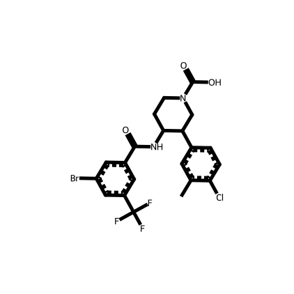 Cc1cc(C2CN(C(=O)O)CCC2NC(=O)c2cc(Br)cc(C(F)(F)F)c2)ccc1Cl